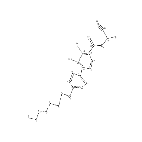 CCCCCCCOc1ccc(-c2ccc(C(=O)OC(C)C#N)c(F)c2F)cc1